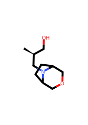 C[C@@H](CO)CN1C2CCC1COC2